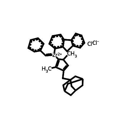 CC1=[C](/[Zr+2](=[CH]/c2ccccc2)[c]2cccc3c2Cc2ccccc2-3)C(C)C=C1CC12CC3CC(CC(C3)C1)C2.[Cl-].[Cl-]